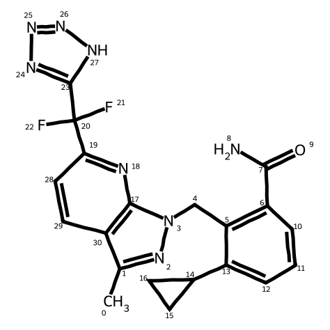 Cc1nn(Cc2c(C(N)=O)cccc2C2CC2)c2nc(C(F)(F)c3nnn[nH]3)ccc12